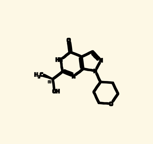 C[C@H](O)c1nc2c(cnn2C2CCOCC2)c(=O)[nH]1